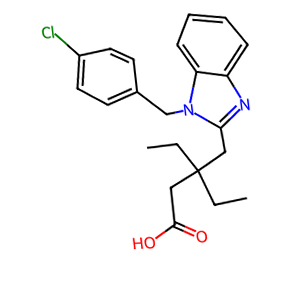 CCC(CC)(CC(=O)O)Cc1nc2ccccc2n1Cc1ccc(Cl)cc1